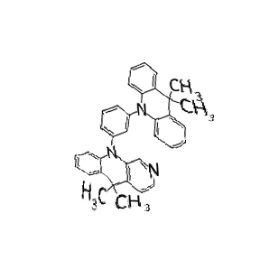 CC1(C)c2ccccc2N(c2cccc(N3c4ccccc4C(C)(C)c4ccncc43)c2)c2ccccc21